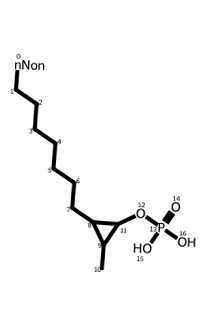 CCCCCCCCCCCCCCCCC1C(C)C1OP(=O)(O)O